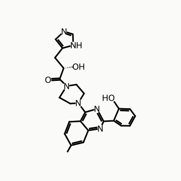 Cc1ccc2c(N3CCN(C(=O)[C@@H](O)Cc4cnc[nH]4)CC3)nc(-c3ccccc3O)nc2c1